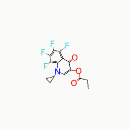 CCC(=O)Oc1cn(C2CC2)c2c(F)c(F)c(F)c(F)c2c1=O